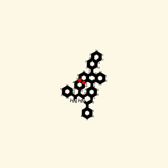 N=C(/C(=C1\NC(c2ccccc2)=Cc2ccc(-c3c4ccccc4c(-c4ccc5ccccc5c4)c4ccccc34)cc21)c1ccccc1)c1ccccc1